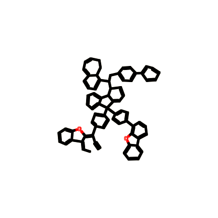 C#C/C(c1ccc(C2(c3ccc(-c4cccc5c4oc4ccccc45)cc3)C3=CC=CC(C(Cc4ccc(-c5ccccc5)cc4)C4=CC=CC5=CC=CCCC54)C3c3ccccc32)cc1)=c1/oc2ccccc2/c1=C/C